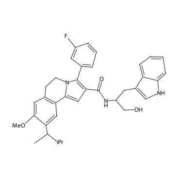 COc1cc2c(cc1C(C)C(C)C)-c1cc(C(=O)NC(CO)Cc3c[nH]c4ccccc34)c(-c3cccc(F)c3)n1CC2